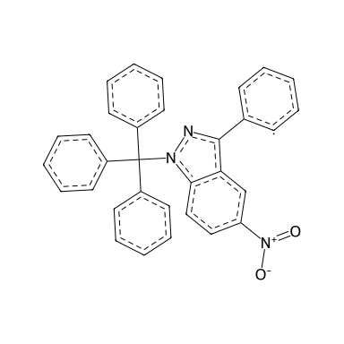 O=[N+]([O-])c1ccc2c(c1)c(-c1[c]cccc1)nn2C(c1ccccc1)(c1ccccc1)c1ccccc1